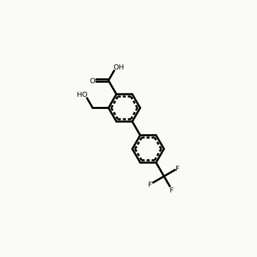 O=C(O)c1ccc(-c2ccc(C(F)(F)F)cc2)cc1CO